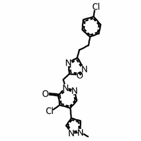 Cn1cc(-c2cnn(Cc3nc(CCc4ccc(Cl)cc4)no3)c(=O)c2Cl)cn1